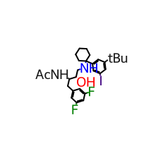 CC(=O)NC(Cc1cc(F)cc(F)c1)C(O)CNC1(c2cc(I)cc(C(C)(C)C)c2)CCCCC1